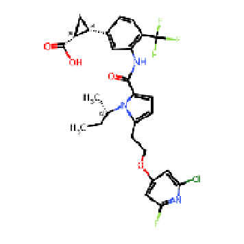 CC[C@H](C)n1c(CCOc2cc(F)nc(Cl)c2)ccc1C(=O)Nc1cc([C@H]2C[C@H]2C(=O)O)ccc1C(F)(F)F